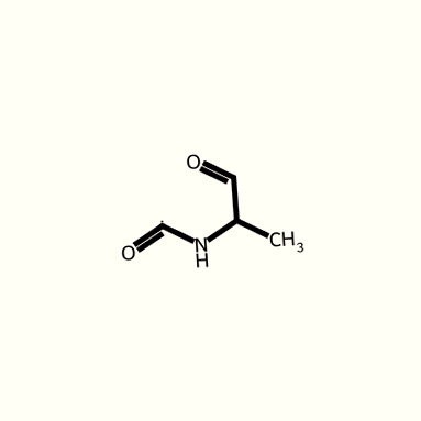 CC(C=O)N[C]=O